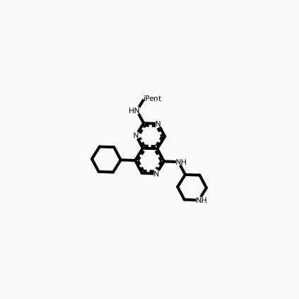 CCCC(C)Nc1ncc2c(NC3CCNCC3)ncc(C3CCCCC3)c2n1